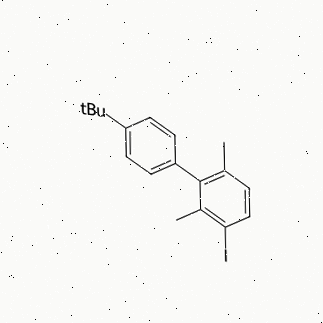 Cc1ccc(I)c(C)c1-c1ccc(C(C)(C)C)cc1